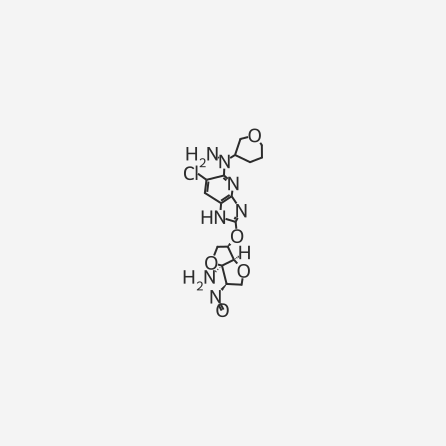 NN(c1nc2nc(O[C@@H]3CO[C@@]4(N)[C@@H]3OC[C@H]4N=O)[nH]c2cc1Cl)C1CCCOC1